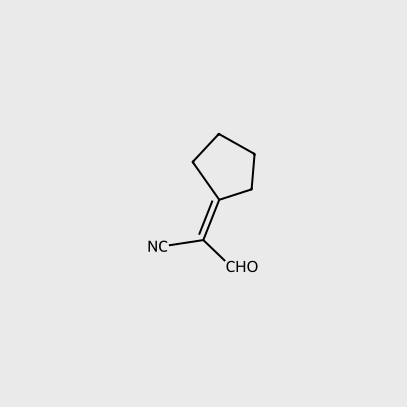 N#CC(C=O)=C1CCCC1